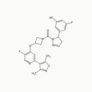 Cc1nsc(C)c1-c1cc(OC2CN(C(=O)N3N=CCC3c3cc(F)cc(C#N)c3)C2)c(F)cn1